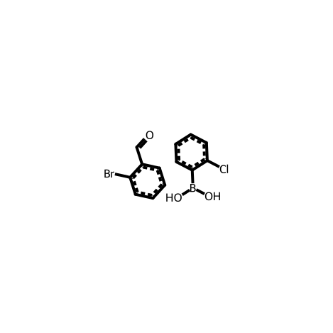 O=Cc1ccccc1Br.OB(O)c1ccccc1Cl